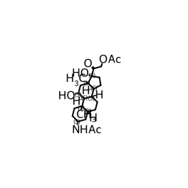 CC(=O)N[C@H]1CC[C@@]2(C)[C@H](CC[C@@H]3[C@@H]2[C@@H](O)C[C@@]2(C)[C@H]3CC[C@@]2(O)C(=O)COC(C)=O)C1